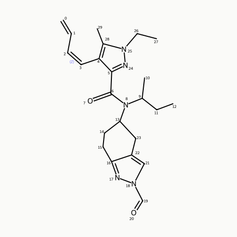 C=C/C=C\c1c(C(=O)N(C(C)CC)C2CCc3nn(C=O)cc3C2)nn(CC)c1C